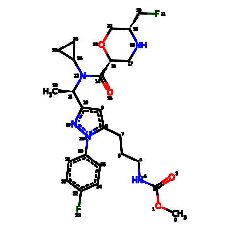 COC(=O)NCCCc1cc([C@@H](C)N(C(=O)[C@H]2CN[C@@H](CF)CO2)C2CC2)nn1-c1ccc(F)cc1